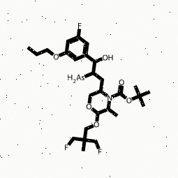 CCCOc1cc(F)cc(C(O)C([AsH2])CC2COC(OCC(C)(CF)CF)C(C)N2C(=O)OC(C)(C)C)c1